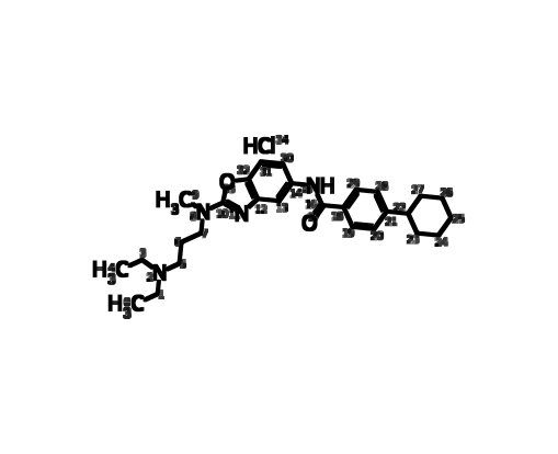 CCN(CC)CCCN(C)c1nc2cc(NC(=O)c3ccc(C4CCCCC4)cc3)ccc2o1.Cl